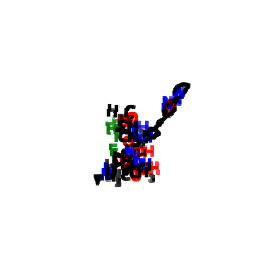 COC(=O)N[C@H](C(=O)N[C@@H](Cc1ccc(C#Cc2ccc(N3CC4CCC(C3)N4C3COC3)nc2)cc1)[C@@H](O)CN(Cc1c(F)cc(-c2ccn(C3CC3)n2)cc1F)NC(=O)[C@@H](NC(=O)O)C(C)(C)C)C(C)(C)C(F)(F)F